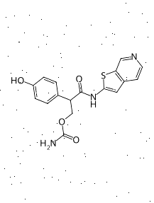 NC(=O)OCC(C(=O)Nc1cc2ccncc2s1)c1ccc(O)cc1